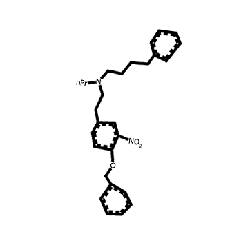 CCCN(CCCCc1ccccc1)CCc1ccc(OCc2ccccc2)c([N+](=O)[O-])c1